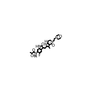 Cc1c(C=C2C(=O)Nc3cc(NC(=O)C(C)O)c(F)cc32)[nH]c2c1C(=O)N(CCN1CCOCC1)CC2